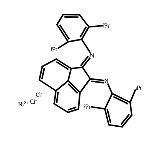 CC(C)c1cccc(C(C)C)c1N=C1C(=Nc2c(C(C)C)cccc2C(C)C)c2cccc3cccc1c23.[Cl-].[Cl-].[Ni+2]